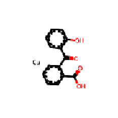 O=C(O)c1ccccc1C(=O)c1ccccc1O.[Cu]